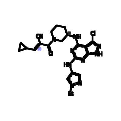 CCn1cc(Nc2nc(N[C@@H]3CCCN(C(=O)/C(C#N)=C/C4CC4)C3)c3c(Cl)n[nH]c3n2)cn1